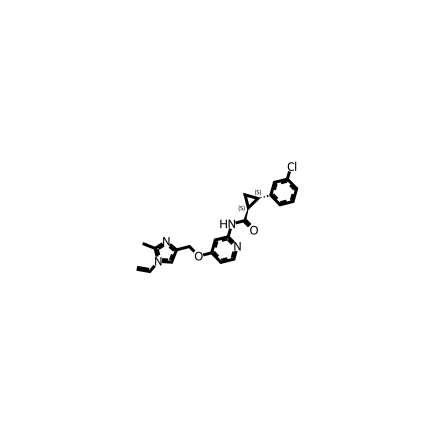 C=Cn1cc(COc2ccnc(NC(=O)[C@H]3C[C@@H]3c3cccc(Cl)c3)c2)nc1C